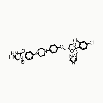 O=C1NNC[N+]1([O-])c1ccc(N2CCN(c3ccc(OC[C@@H]4CO[C@@](Cn5cncn5)(c5ccc(Cl)cc5Cl)O4)cc3)CC2)cc1